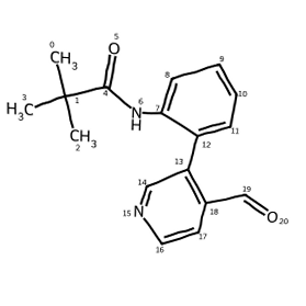 CC(C)(C)C(=O)Nc1ccccc1-c1cnccc1C=O